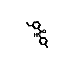 CCc1cccc(C(=O)Nc2ccc(C)cc2)c1